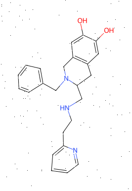 Oc1cc2c(cc1O)CN(Cc1ccccc1)C(CNCCc1ccccn1)C2